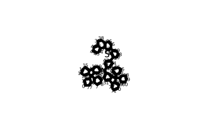 c1ccc(C2(c3ccccc3)c3ccccc3-c3ccc(N(c4ccc(-c5cccc6c5sc5c6ccc6ccc7ccccc7c65)cc4)c4ccc5c(c4)C(c4ccccc4)(c4ccccc4)c4ccccc4-5)cc32)cc1